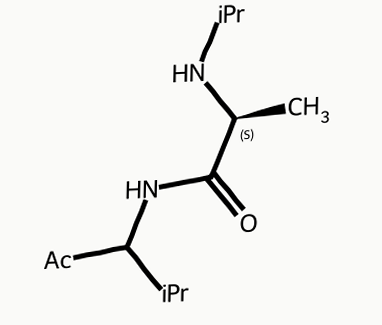 CC(=O)C(NC(=O)[C@H](C)NC(C)C)C(C)C